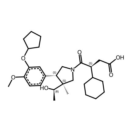 COc1ccc([C@@H]2CN(C(=O)[C@@H](CC(=O)O)C3CCCCC3)C[C@@]2(C)[C@@H](C)O)cc1OC1CCCC1